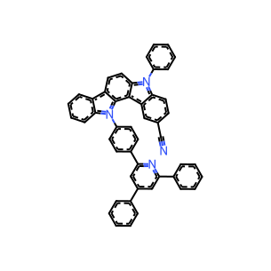 N#Cc1ccc2c(c1)c1c(ccc3c4ccccc4n(-c4ccc(-c5cc(-c6ccccc6)cc(-c6ccccc6)n5)cc4)c31)n2-c1ccccc1